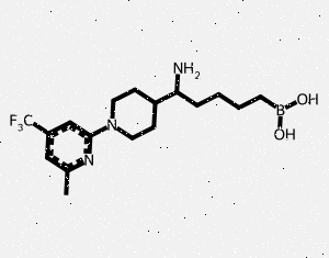 Cc1cc(C(F)(F)F)cc(N2CCC(C(N)CCCCB(O)O)CC2)n1